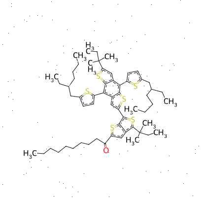 CCCCCCCCCC(=O)c1cc2c(C(C)(C)CC)sc(-c3cc4c(-c5ccc(CC(CC)CCCC)s5)c5sc(C(C)(C)CC)cc5c(-c5ccc(CC(CC)CCCC)s5)c4s3)c2s1